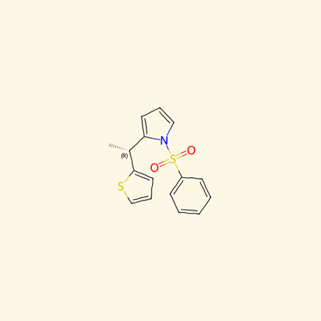 C[C@@H](c1cccs1)c1cccn1S(=O)(=O)c1ccccc1